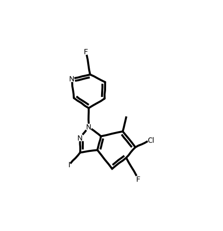 Cc1c(Cl)c(F)cc2c(I)nn(-c3ccc(F)nc3)c12